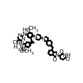 COc1cc(N2CCC(N3CCC4(CCC(=Cc5cccc6c5CN(C5CCC(=O)NC5=O)C6=O)CC4)C3)CC2)c(C2CC2)cc1Nc1ncc(Cl)c(Nc2ccccc2P(C)(C)=O)n1